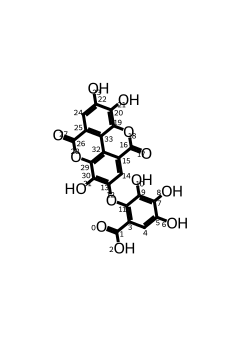 O=C(O)c1cc(O)c(O)c(O)c1Oc1cc2c(=O)oc3c(O)c(O)cc4c(=O)oc(c1O)c2c34